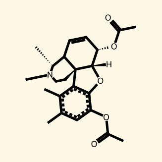 CC(=O)Oc1cc(C)c(C)c2c1O[C@H]1[C@@H](OC(C)=O)C=CC3[C@@H](C)N(C)CC[C@@]231